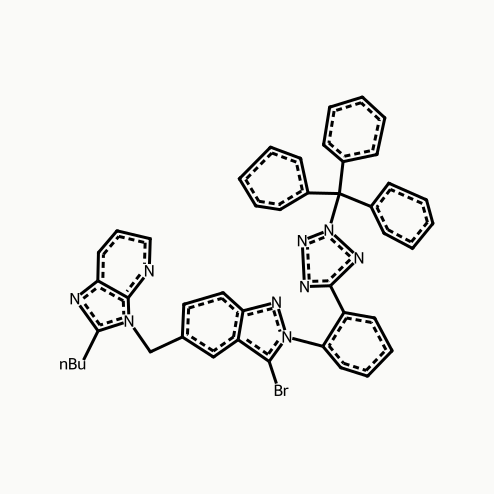 CCCCc1nc2cccnc2n1Cc1ccc2nn(-c3ccccc3-c3nnn(C(c4ccccc4)(c4ccccc4)c4ccccc4)n3)c(Br)c2c1